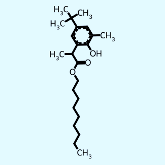 CCCCCCCCCOC(=O)C(C)c1cc(C(C)(C)C)cc(C)c1O